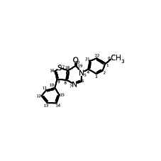 Cc1ccc(-n2cnc3c(-c4ccccc4)csc3c2=O)cc1